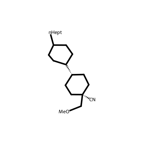 CCCCCCCC1CCC([C@H]2CC[C@](C#N)(COC)CC2)CC1